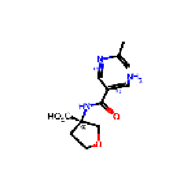 C=C(C)/N=C\C(=C/N)C(=O)N[C@@]1(C(=O)O)CCOC1